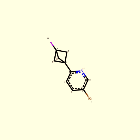 Brc1ccc(C23CC(I)(C2)C3)nc1